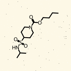 CCCCOC(=O)N1CCC(S(=O)(=O)NC(C)C)CC1